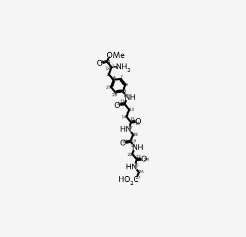 COC(=O)[C@@H](N)Cc1ccc(NC(=O)CCC(=O)NCC(=O)NCC(=O)NCC(=O)O)cc1